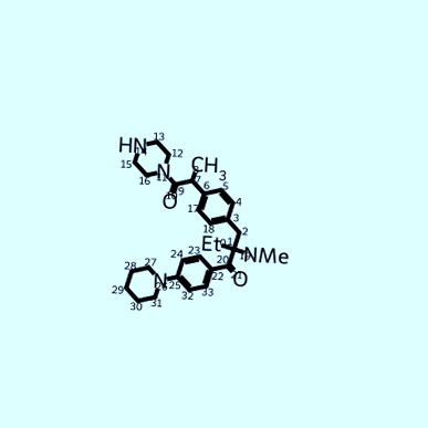 CCC(Cc1ccc(C(C)C(=O)N2CCNCC2)cc1)(NC)C(=O)c1ccc(N2CCCCC2)cc1